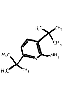 CC(C)(C)c1ccc(C(C)(C)C)c(N)n1